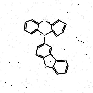 c1ccc2c(c1)Oc1ccccc1N2c1cnc2oc3ccccc3c2c1